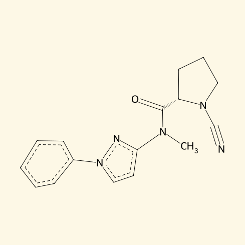 CN(C(=O)[C@@H]1CCCN1C#N)c1ccn(-c2ccccc2)n1